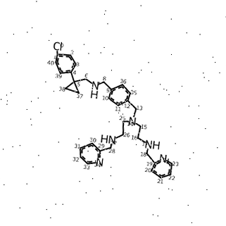 Clc1ccc(C2(CNCc3ccc(CN(CCNCc4ccccn4)CCNCc4ccccn4)cc3)CC2)cc1